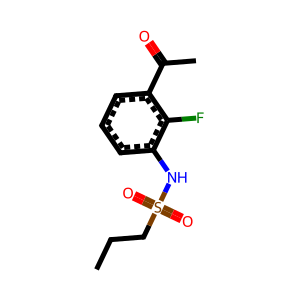 CCCS(=O)(=O)Nc1cccc(C(C)=O)c1F